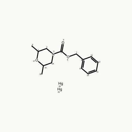 CC1CN(C(=O)OCc2ccccc2)CC(C)O1.[Hg].[Hg]